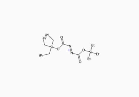 CC[Si](CC)(CC)OC(=O)/N=N/C(=O)O[Si](CC(C)C)(CC(C)C)CC(C)C